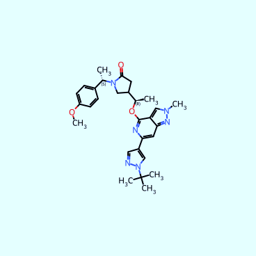 COc1ccc([C@H](C)N2CC([C@@H](C)Oc3nc(-c4cnn(C(C)(C)C)c4)cc4nn(C)cc34)CC2=O)cc1